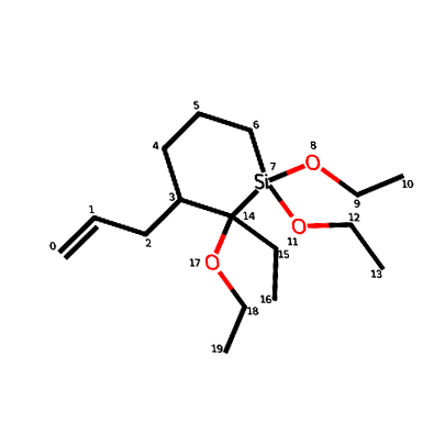 C=CCC1CCC[Si](OCC)(OCC)C1(CC)OCC